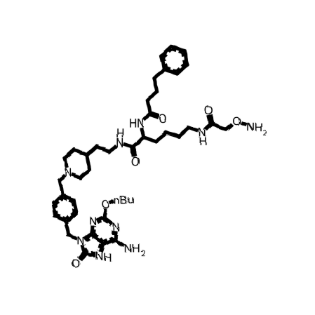 CCCCOc1nc(N)c2[nH]c(=O)n(Cc3ccc(CN4CCC(CCNC(=O)C(CCCCNC(=O)CON)NC(=O)CCCc5ccccc5)CC4)cc3)c2n1